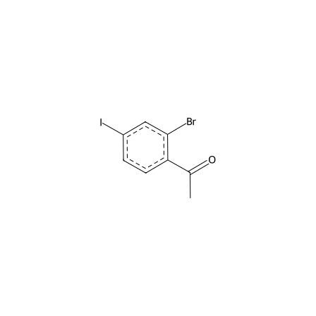 CC(=O)c1ccc(I)cc1Br